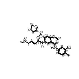 CN(C)CC=CC(=O)Nc1cc2c(Nc3ccc(F)c(Cl)c3)ncnc2cc1OC[C@@H]1CCCO1